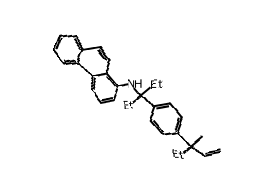 C=CC(C)(CC)c1ccc(C(CC)(CC)Nc2cccc3c2ccc2ccccc23)cc1